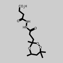 CC1CC(C)(C)OOC(C)(CCC(=O)NNC(=O)CCC(=O)O)O1